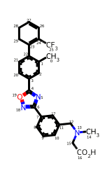 Cc1cc(-c2nc(-c3cccc(CN(C)CC(=O)O)c3)no2)ccc1C1=C(C(F)(F)F)C=CCC1